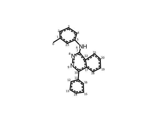 Cc1cccc(Nc2nnc(-c3ccccc3)c3ccccc23)c1